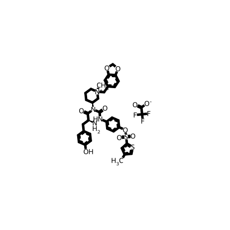 Cc1csc(S(=O)(=O)Oc2ccc(NC(=O)N(C(=O)[C@@H](N)Cc3ccc(O)cc3)[C@H]3CCC[N+](C)(Cc4ccc5c(c4)OCO5)C3)cc2)c1.O=C([O-])C(F)(F)F